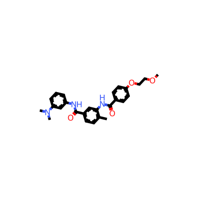 COCCOc1ccc(C(=O)Nc2cc(C(=O)Nc3cccc(N(C)C)c3)ccc2C)cc1